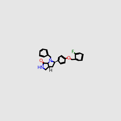 O=C1NC[C@H]2C[C@H](c3ccc(OCc4ccccc4F)cc3)N(Cc3ccccc3)C12